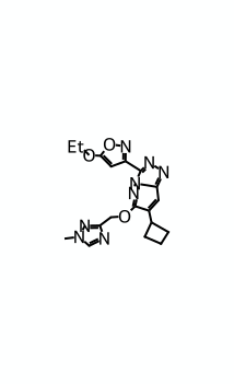 CCOc1cc(-c2nnc3cc(C4CCC4)c(OCc4ncn(C)n4)nn23)no1